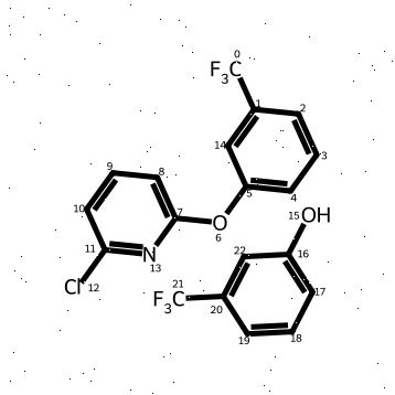 FC(F)(F)c1cccc(Oc2cccc(Cl)n2)c1.Oc1cccc(C(F)(F)F)c1